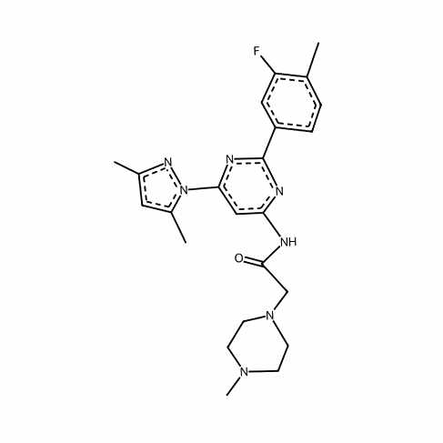 Cc1cc(C)n(-c2cc(NC(=O)CN3CCN(C)CC3)nc(-c3ccc(C)c(F)c3)n2)n1